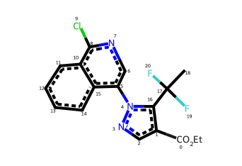 CCOC(=O)c1cnn(-c2cnc(Cl)c3ccccc23)c1C(C)(F)F